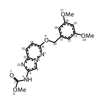 COC(=O)Nc1cn2nc(OCc3cc(OC)cc(OC)c3)ccc2n1